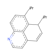 CC(C)c1ccc2nccc3c2c1C(C(C)C)C=C3